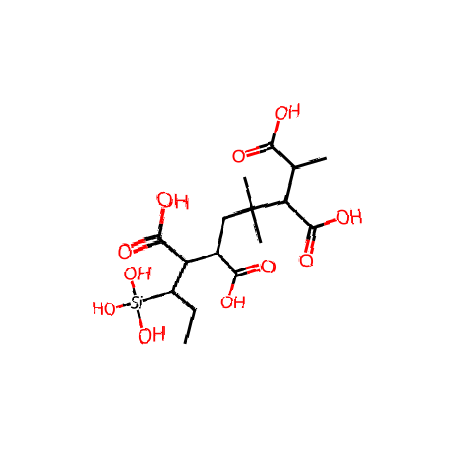 CCC(C(C(=O)O)C(CC(C)(C)C(C(=O)O)C(C)C(=O)O)C(=O)O)[Si](O)(O)O